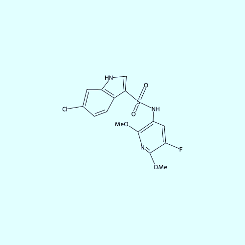 COc1nc(OC)c(NS(=O)(=O)c2c[nH]c3cc(Cl)ccc23)cc1F